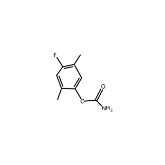 Cc1cc(OC(N)=O)c(C)cc1F